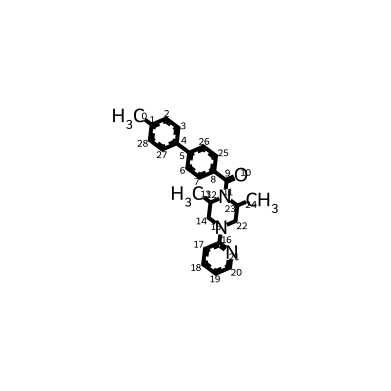 Cc1ccc(-c2ccc(C(=O)N3C(C)CN(c4ccccn4)CC3C)cc2)cc1